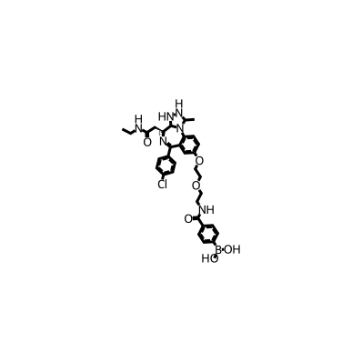 CCNC(=O)C[C@@H]1N=C(c2ccc(Cl)cc2)c2cc(OCCOCCNC(=O)c3ccc(B(O)O)cc3)ccc2N2C(C)NNC12